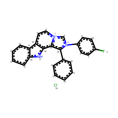 Fc1ccc(-n2c[n+]3ccc4c5ccccc5[nH]c4c3c2-c2ccccc2)cc1.[Cl-]